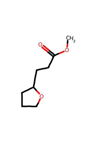 COC(=O)CCC1CCCO1